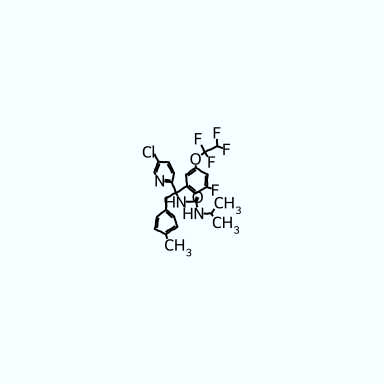 Cc1ccc(CC(NC(=O)NC(C)C)(c2cc(F)cc(OC(F)(F)C(F)F)c2)c2ccc(Cl)cn2)cc1